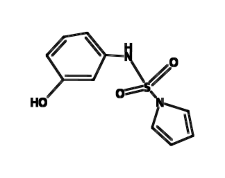 O=S(=O)(Nc1cccc(O)c1)n1cccc1